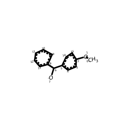 COc1ccc(C([O])c2ccccc2)cc1